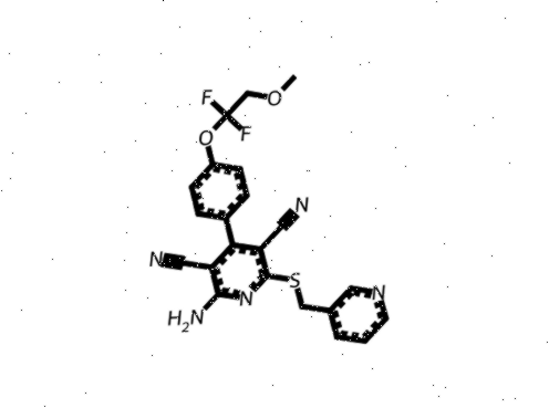 COCC(F)(F)Oc1ccc(-c2c(C#N)c(N)nc(SCc3cccnc3)c2C#N)cc1